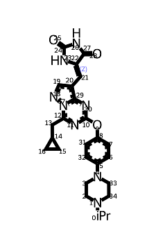 CC(C)N1CCN(c2ccc(Oc3nc(CC4CC4)n4ncc(/C=C5\NC(=O)NC5=O)c4n3)cc2)CC1